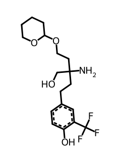 NC(CO)(CCOC1CCCCO1)CCc1ccc(O)c(C(F)(F)F)c1